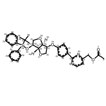 CC(=O)OCc1ccnc(-c2ccc(O[C@H]3CO[C@H]4[C@H]3OC[C@@H]4O[Si](c3ccccc3)(c3ccccc3)C(C)(C)C)cc2)n1